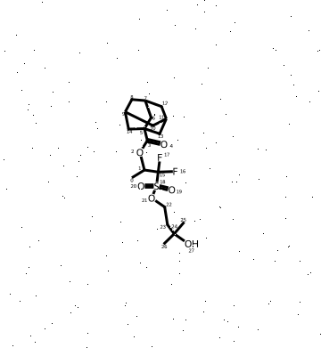 CC(OC(=O)C12CC3CC(CC(C3)C1)C2)C(F)(F)S(=O)(=O)OCCC(C)(C)O